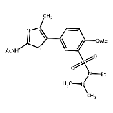 CCN(N(C)C)S(=O)(=O)c1cc(-c2sc(NC(C)=O)nc2C)ccc1OC